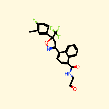 Cc1cc(C2(C(F)(F)F)CC(c3ccc(C(=O)NCC=O)c4ccccc34)=NO2)ccc1F